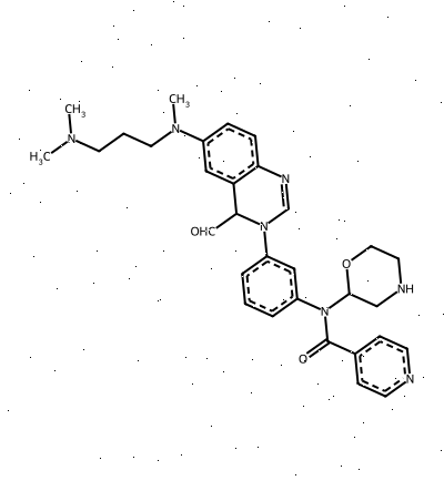 CN(C)CCCN(C)c1ccc2c(c1)C(C=O)N(c1cccc(N(C(=O)c3ccncc3)C3CNCCO3)c1)C=N2